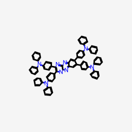 c1ccc(N(c2ccccc2)c2ccc(-c3cc4nc5nc(-c6ccc(N(c7ccccc7)c7ccccc7)cc6)c(-c6ccc(N(c7ccccc7)c7ccccc7)cc6)nc5nc4cc3-c3ccc(N(c4ccccc4)c4ccccc4)cc3)cc2)cc1